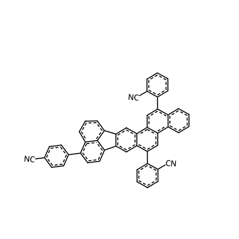 N#Cc1ccc(-c2ccc3c4c(cccc24)-c2cc4c(cc2-3)c(-c2ccccc2C#N)cc2c3ccccc3c(-c3ccccc3C#N)cc42)cc1